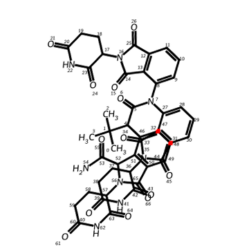 CC(C)(C)C(C(=O)N(c1cccc2c1C(=O)N(C1CCC(=O)NC1=O)C2=O)c1cccc2c1C(=O)N(C1CCC(=O)NC1=O)C2=O)c1cccc2c1C(C(N)=O)N(C1CCC(=O)NC1=O)C2=O